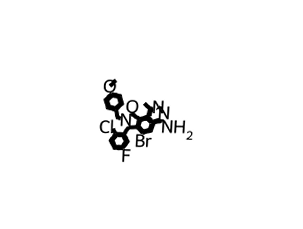 COc1ccc(CN2C(=O)c3c(c(Br)cc4c(N)nnc(C)c34)C2c2cc(F)ccc2Cl)cc1